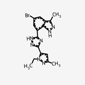 CCn1nc(C)cc1-c1n[nH]c(-c2cc(Br)cc3c(C)n[nH]c23)n1